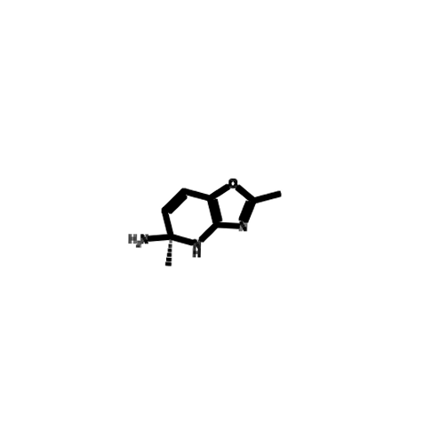 Cc1nc2c(o1)C=C[C@](C)(N)N2